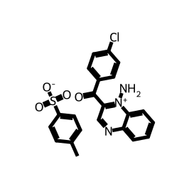 Cc1ccc(S(=O)(=O)[O-])cc1.N[n+]1c(C(=O)c2ccc(Cl)cc2)cnc2ccccc21